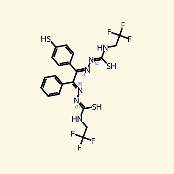 FC(F)(F)CN/C(S)=N/N=C(/C(=N/N=C(\S)NCC(F)(F)F)c1ccc(S)cc1)c1ccccc1